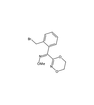 CO/N=C(\C1=NOCCO1)c1ccccc1CBr